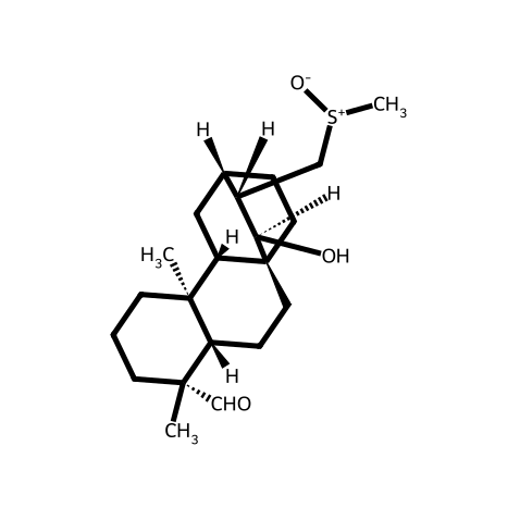 C[S+]([O-])C[C@H]1[C@H]2CC[C@@]3(CC[C@H]4[C@@](C)(CCC[C@@]4(C)C=O)[C@@H]3C2)[C@@H]1O